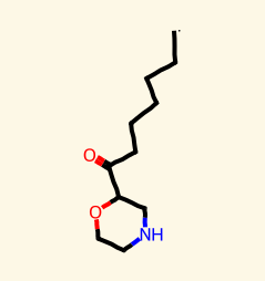 [CH2]CCCCCC(=O)C1CNCCO1